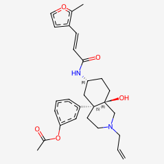 C=CCN1CC[C@@]2(c3cccc(OC(C)=O)c3)C[C@H](NC(=O)C=Cc3ccoc3C)CC[C@]2(O)C1